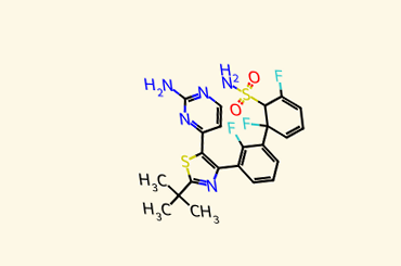 CC(C)(C)c1nc(-c2cccc(C3(F)C=CC=C(F)C3S(N)(=O)=O)c2F)c(-c2ccnc(N)n2)s1